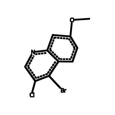 COc1ccc2c(Br)c(Cl)cnc2c1